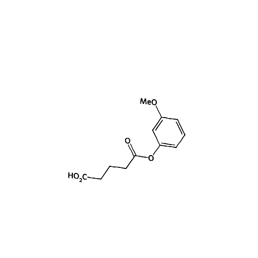 COc1cccc(OC(=O)CCCC(=O)O)c1